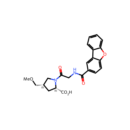 COC[C@H]1C[C@@H](C(=O)O)N(C(=O)CNC(=O)c2ccc3oc4ccccc4c3c2)C1